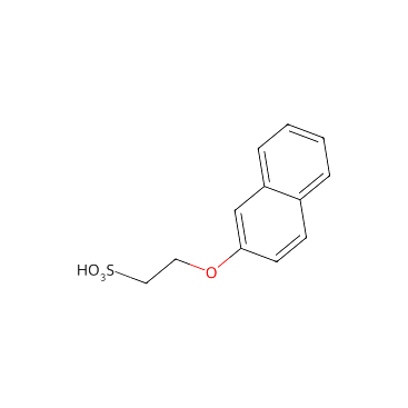 O=S(=O)(O)CCOc1ccc2ccccc2c1